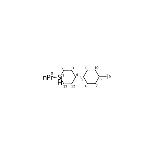 CCC[Si@H]1CC[C@H](C2CCC(I)CC2)CC1